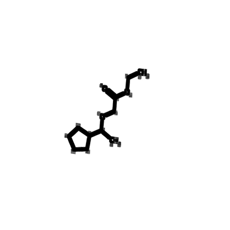 CCOC(=O)COC(C)C1CCCC1